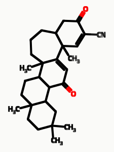 CC1(C)CCC2(C)CCC3C(C(=O)C=C4C5(C)C=C(C#N)C(=O)CC5CCCC43C)C2C1